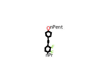 CCCCCOc1ccc(C#Cc2ccc(CCC)c(F)c2F)cc1